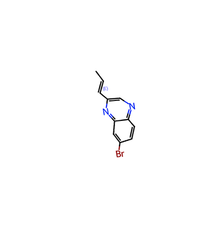 C/C=C/c1cnc2ccc(Br)cc2n1